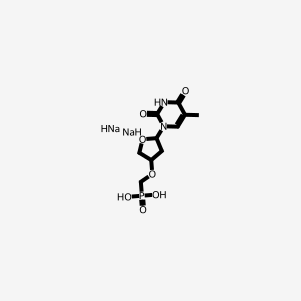 Cc1cn(C2CC(OCP(=O)(O)O)CO2)c(=O)[nH]c1=O.[NaH].[NaH]